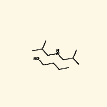 CC(C)[CH2][AlH][CH2]C(C)C.CCCCO